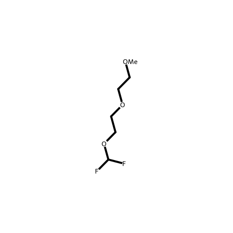 COCCOCCOC(F)F